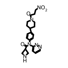 O=C(CC[N+](=O)[O-])N1CCC(c2ccc(N(C(=O)C3CNC3)c3cccnn3)cc2)CC1